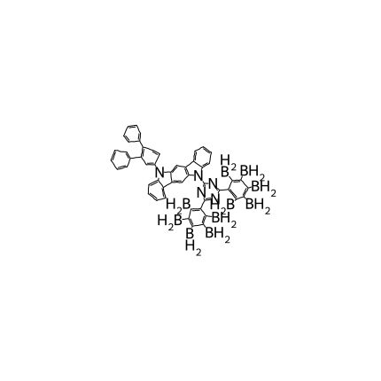 Bc1c(B)c(B)c(-c2nc(-c3c(B)c(B)c(B)c(B)c3B)nc(-n3c4ccccc4c4cc5c(cc43)c3ccccc3n5-c3ccc(-c4ccccc4)c(-c4ccccc4)c3)n2)c(B)c1B